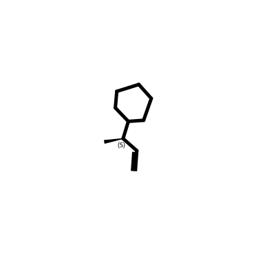 C=C[C@@H](C)C1CCCCC1